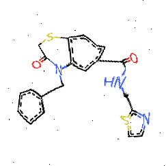 O=C(NCc1nccs1)c1ccc2c(c1)N(Cc1ccccc1)C(=O)CS2